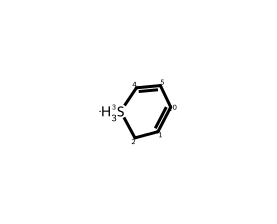 [C]1=CC[SH3]C=C1